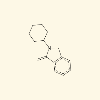 C=C1c2ccccc2CN1C1CCCCC1